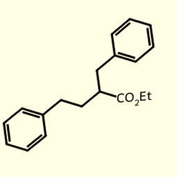 CCOC(=O)C(CCc1ccccc1)Cc1ccccc1